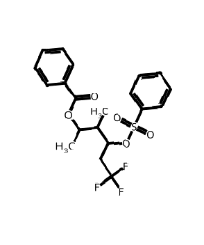 CC(OC(=O)c1ccccc1)C(C)C(CC(F)(F)F)OS(=O)(=O)c1ccccc1